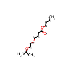 CCCCOC(=O)CCCOCCOC(C)C